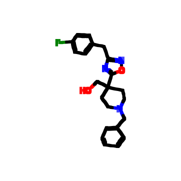 OCC1(c2nc(Cc3ccc(F)cc3)no2)CCN(Cc2ccccc2)CC1